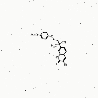 CCc1cc2ccc(C(C)(C#N)CCOc3ccc(OC)cc3)cc2[nH]c1=O